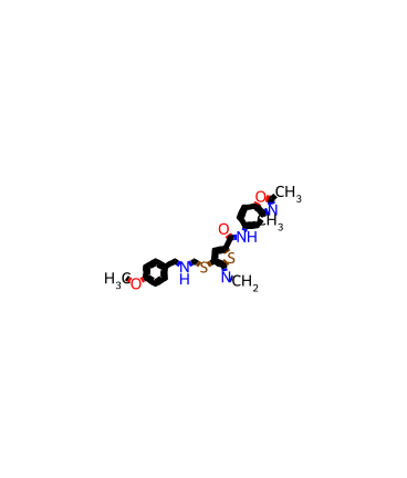 C=Nc1sc(C(=O)NC(/C=C\c2cnc(C)o2)=C/C)cc1SCNCc1ccc(OC)cc1